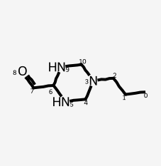 CCCN1CNC(C=O)NC1